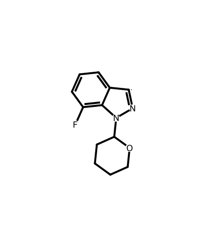 Fc1cccc2[c]nn(C3CCCCO3)c12